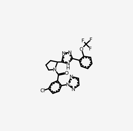 O=C(c1cc(Cl)ccc1-n1nccn1)N1CCCC1c1nnc(-c2ccccc2OC(F)(F)F)[nH]1